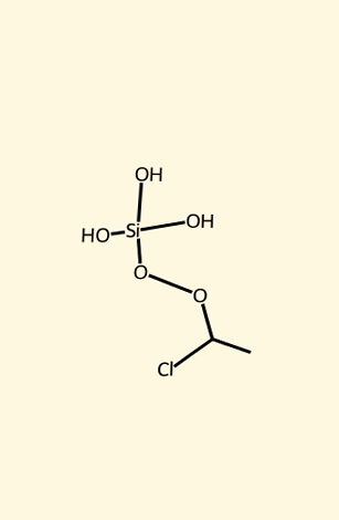 CC(Cl)OO[Si](O)(O)O